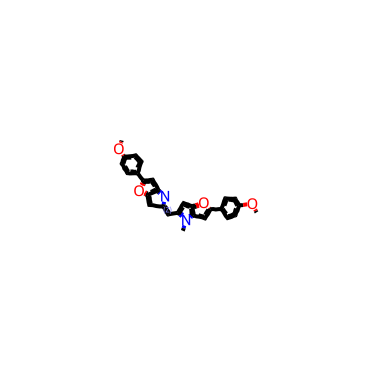 COc1ccc(-c2cc3c(o2)=C/C(=C/c2cc4oc(-c5ccc(OC)cc5)cc4n2C)N=3)cc1